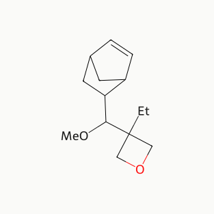 CCC1(C(OC)C2CC3C=CC2C3)COC1